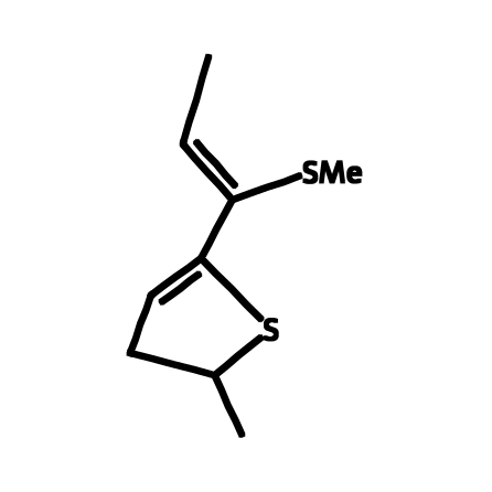 C/C=C(\SC)C1=CCC(C)S1